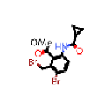 COC(=O)c1c(NC(=O)C2CC2)ccc(Br)c1CBr